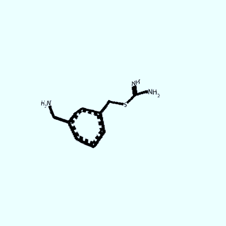 N=C(N)SCc1cccc(CN)c1